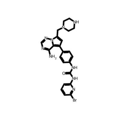 Nc1ncnn2c(CN3CCNCC3)cc(-c3ccc(NC(=O)Nc4cccc(Br)n4)cc3)c12